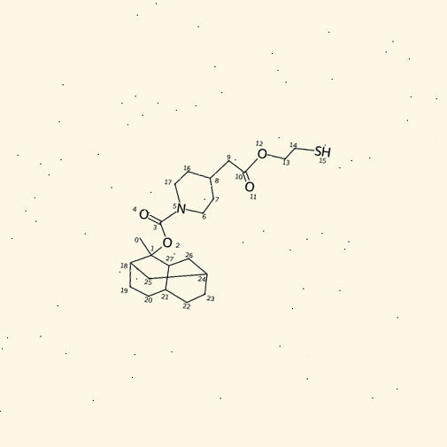 CC1(OC(=O)N2CCC(CC(=O)OCCS)CC2)C2CCC3CCC(C2)CC31